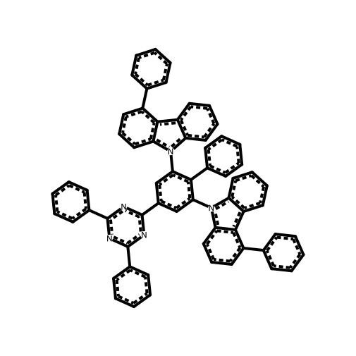 c1ccc(-c2nc(-c3ccccc3)nc(-c3cc(-n4c5ccccc5c5c(-c6ccccc6)cccc54)c(-c4ccccc4)c(-n4c5ccccc5c5c(-c6ccccc6)cccc54)c3)n2)cc1